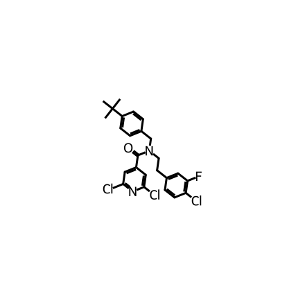 CC(C)(C)c1ccc(CN(CCc2ccc(Cl)c(F)c2)C(=O)c2cc(Cl)nc(Cl)c2)cc1